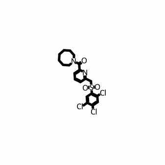 O=C(c1cccc(CS(=O)(=O)c2cc(Cl)c(Cl)cc2Cl)n1)N1CCCCCCC1